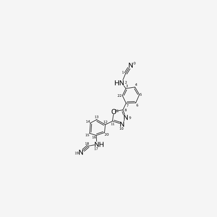 N#CNc1cccc(-c2nnc(-c3cccc(NC#N)c3)o2)c1